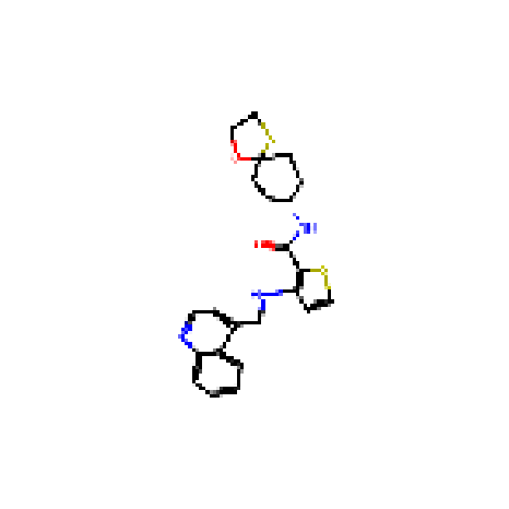 O=C(N[C@H]1CC[C@@]2(CC1)OCCS2)c1sccc1NCc1ccnc2ccccc12